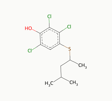 CC(C)CC(C)Sc1cc(Cl)c(O)c(Cl)c1Cl